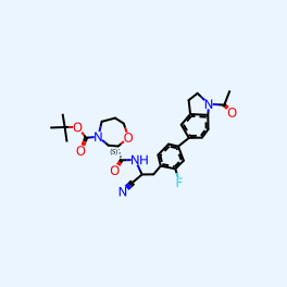 CC(=O)N1CCc2cc(-c3ccc(CC(C#N)NC(=O)[C@@H]4CN(C(=O)OC(C)(C)C)CCCO4)c(F)c3)ccc21